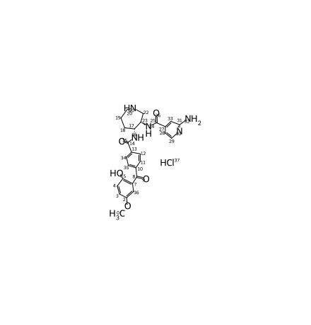 COc1ccc(O)c(C(=O)c2ccc(C(=O)N[C@@H]3CCCNC[C@H]3NC(=O)c3ccnc(N)c3)cc2)c1.Cl